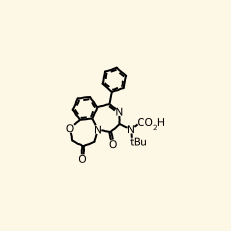 CC(C)(C)N(C(=O)O)C1N=C(c2ccccc2)c2cccc3c2N(CC(=O)CO3)C1=O